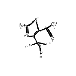 N.O=C(O)c1scnc1C(F)(F)F